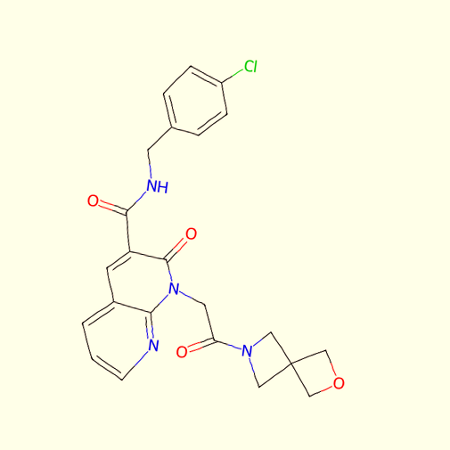 O=C(NCc1ccc(Cl)cc1)c1cc2cccnc2n(CC(=O)N2CC3(COC3)C2)c1=O